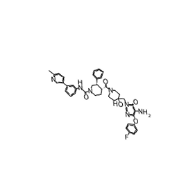 Cc1ccc(-c2cccc(NC(=O)N3CC[C@@H](C(=O)N4CCC(O)(Cn5cnc(Oc6ccc(F)cc6)c(N)c5=O)CC4)[C@H](c4ccccc4)C3)c2)cn1